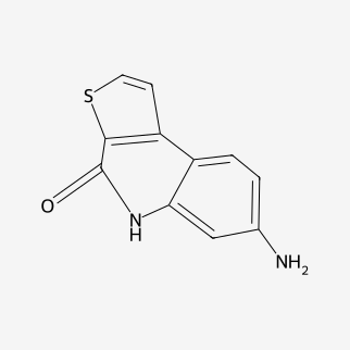 Nc1ccc2c(c1)[nH]c(=O)c1sccc12